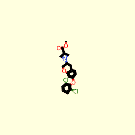 COC(=O)C1CN(C2COc3cc(Oc4c(Cl)cccc4Cl)ccc3C2)C1